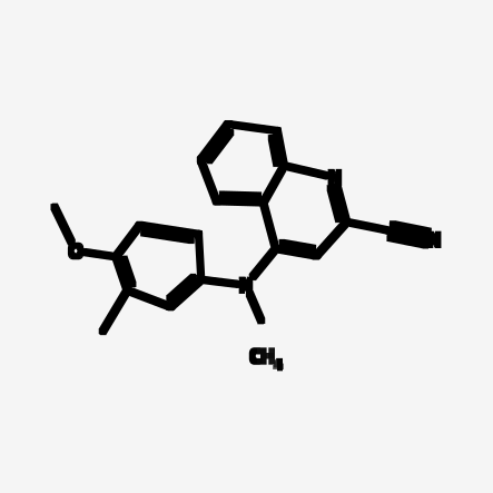 C.COc1ccc(N(C)c2cc(C#N)nc3ccccc23)cc1C